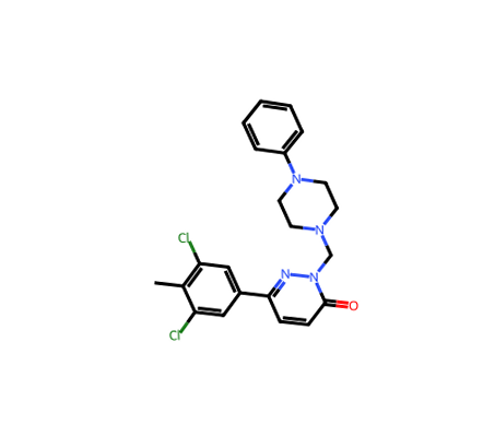 Cc1c(Cl)cc(-c2ccc(=O)n(CN3CCN(c4ccccc4)CC3)n2)cc1Cl